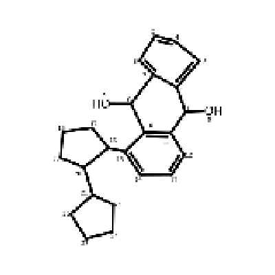 OC1c2ccccc2C(O)c2c1cccc2C1CCCC1C1CCCC1